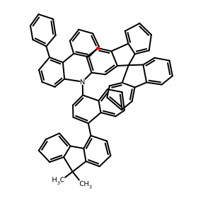 CC1(C)c2ccccc2-c2c(-c3ccc(N(c4ccc5c(c4)C4(c6ccccc6-c6ccccc64)c4ccccc4-5)c4cccc(-c5ccccc5)c4-c4ccccc4)c4ccccc34)cccc21